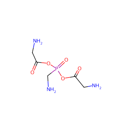 NCC(=O)OP(=O)(CN)OC(=O)CN